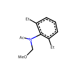 CCc1cccc(CC)c1N(COC)C(C)=O